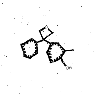 Oc1ccc(C2(c3ccccc3)COC2)cc1I